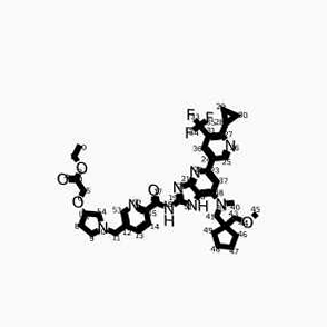 CCOC(=O)CO[C@H]1CCN(Cc2ccc(C(=O)Nc3nc4nc(-c5cnc(C6CC6)c(C(F)(F)F)c5)cc(N(C)CC5(COC)CCCC5)c4[nH]3)nc2)C1